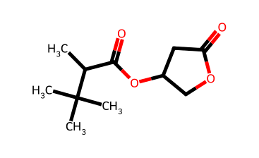 CC(C(=O)OC1COC(=O)C1)C(C)(C)C